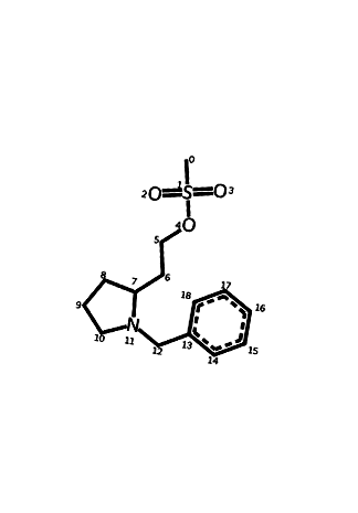 CS(=O)(=O)OCCC1CCCN1Cc1ccccc1